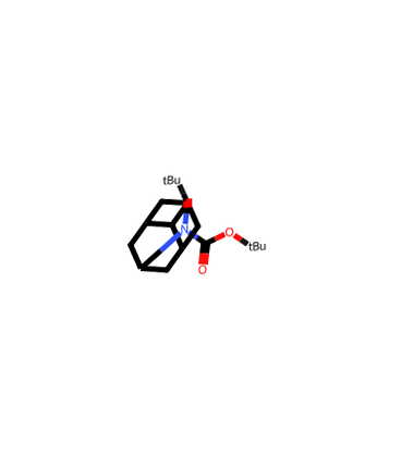 CC(C)(C)CC1C2CC3CC1CC(C2)N3C(=O)OC(C)(C)C